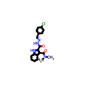 CN(C)C(=O)c1c(C(=O)N/N=C/c2ccc(Cl)cc2)[nH]c2ccccc12